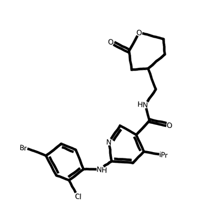 CC(C)c1cc(Nc2ccc(Br)cc2Cl)ncc1C(=O)NCC1CCOC(=O)C1